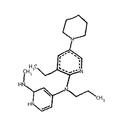 CCCN(C1=CC(NC)NC=C1)c1ncc(N2CCCCC2)cc1CC